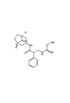 CN1[C@H]2CC[C@H]1CC(NC(=O)C(CNC(=N)OC(C)(C)C)c1ccccc1)C2